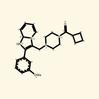 COc1cccc(C2=C(CN3CCN(C(=O)C4CCC4)CC3)N3C=CC=CC3N2)c1